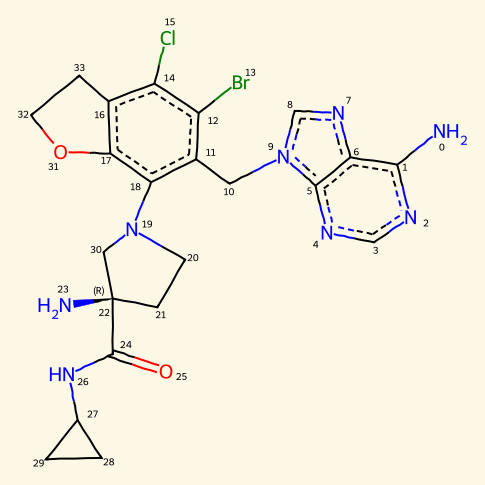 Nc1ncnc2c1ncn2Cc1c(Br)c(Cl)c2c(c1N1CC[C@](N)(C(=O)NC3CC3)C1)OCC2